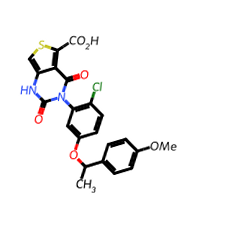 COc1ccc(C(C)Oc2ccc(Cl)c(-n3c(=O)[nH]c4csc(C(=O)O)c4c3=O)c2)cc1